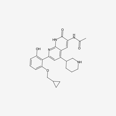 CC(=O)Nc1cc2c(C3CCCNC3)cc(-c3c(O)cccc3OCC3CC3)nc2[nH]c1=O